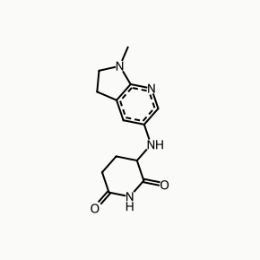 CN1CCc2cc(NC3CCC(=O)NC3=O)cnc21